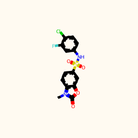 Cn1c(=O)oc2cc(S(=O)(=O)Nc3ccc(Cl)c(F)c3)ccc21